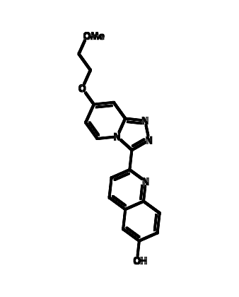 COCCOc1ccn2c(-c3ccc4cc(O)ccc4n3)nnc2c1